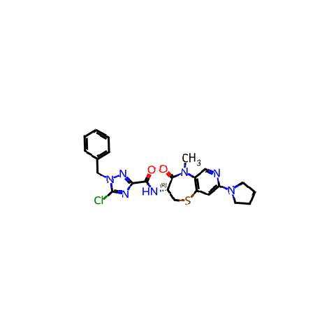 CN1C(=O)[C@@H](NC(=O)c2nc(Cl)n(Cc3ccccc3)n2)CSc2cc(N3CCCC3)ncc21